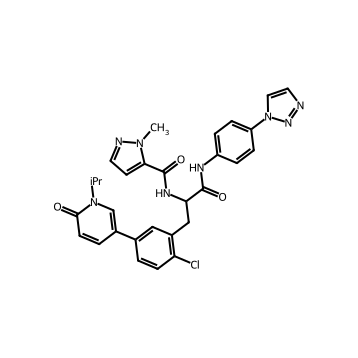 CC(C)n1cc(-c2ccc(Cl)c(CC(NC(=O)c3ccnn3C)C(=O)Nc3ccc(-n4ccnn4)cc3)c2)ccc1=O